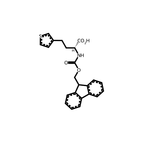 O=C(N[C@H](CCc1ccsc1)C(=O)O)OCC1c2ccccc2-c2ccccc21